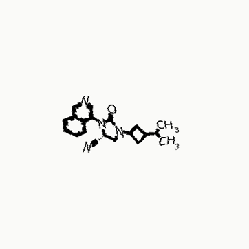 CC(C)C1CC(N2C[C@H](C#N)N(c3cncc4ccccc34)C2=O)C1